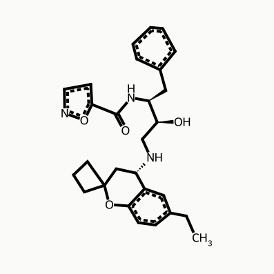 CCc1ccc2c(c1)[C@@H](NC[C@H](O)[C@H](Cc1ccccc1)NC(=O)c1ccno1)CC1(CCC1)O2